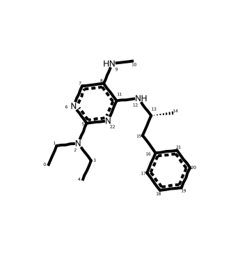 CCN(CC)c1ncc(NC)c(N[C@H](C)Cc2ccccc2)n1